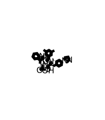 Cc1cc(C)cc(C(=O)N(C)[C@@H](Cc2ccc(-n3ccnc3)cc2)C(=O)N[C@@H](Cc2c[nH]c3ccccc23)C(=O)O)c1